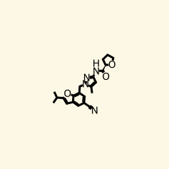 Cc1cc(NC(=O)[C@H]2CCCO2)nn1Cc1cc(C#N)cc2cc(C(C)C)oc12